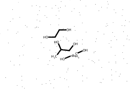 CC(O)CO.CCCCO.CO.OCCO